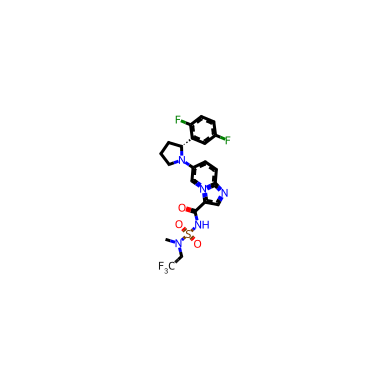 CN(CC(F)(F)F)S(=O)(=O)NC(=O)c1cnc2ccc(N3CCC[C@@H]3c3cc(F)ccc3F)cn12